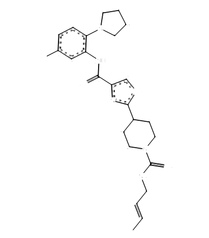 C/C=C/CNC(=S)N1CCC(c2nc(C(=O)Nc3cc(C(F)(F)F)ccc3N3CCCC3)cs2)CC1